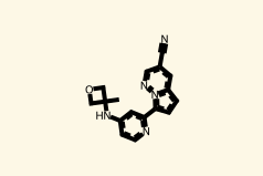 CC1(Nc2ccnc(-c3ccc4cc(C#N)cnn34)c2)COC1